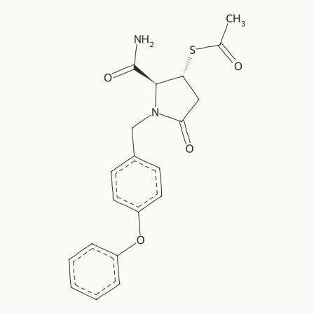 CC(=O)S[C@@H]1CC(=O)N(Cc2ccc(Oc3ccccc3)cc2)[C@H]1C(N)=O